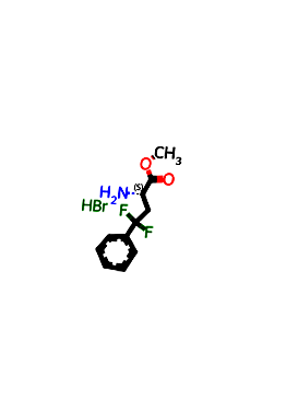 Br.COC(=O)[C@@H](N)CC(F)(F)c1ccccc1